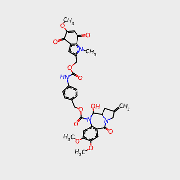 C=C1CC2C(O)N(C(=O)OCc3ccc(NC(=O)OCc4cc5c(n4C)C(=O)C=C(OC)C5=O)cc3)c3cc(OC)c(OC)cc3C(=O)N2C1